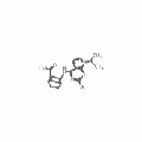 CC(C)n1ccc2c(NC3C4CCC(CC4)C3C(=O)O)nc(Br)nc21